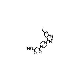 CCc1cc2c(N3CCN(C(=O)CC(=O)O)CC3)ncnc2s1